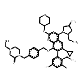 CCc1c(F)cc(O)cc1-c1c(C2CC2)cc2c(N3CC(C)CC3CC)nc(OC3CCOCC3)nc2c1OCc1ccc(CN2CCN(CO)CC2=O)cc1